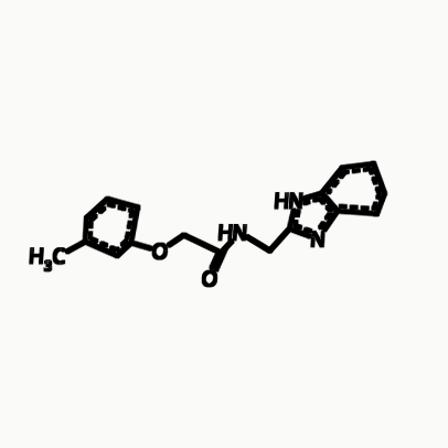 Cc1cccc(OCC(=O)NCc2nc3ccccc3[nH]2)c1